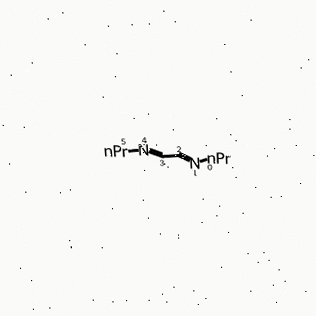 CCC/N=C/C=N/CCC